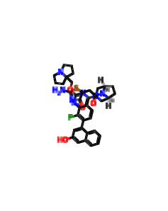 NC1=NC(=O)C(CC(=O)N2[C@@H]3CC[C@H]2CN(c2nc(OCC45CCCN4CCC5)nc4c(F)c(-c5cc(O)cc6ccccc56)ccc24)C3)S1